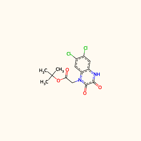 CC(C)(C)OC(=O)Cn1c(=O)c(=O)[nH]c2cc(Cl)c(Cl)cc21